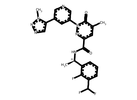 Cc1cc(C(=O)N[C@H](C)c2cccc(C(F)F)c2F)nn(-c2cncc(-c3cnnn3C)c2)c1=O